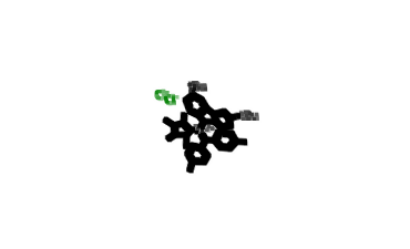 CC1=C(C)C(C)[C]([Zr+2](=[C](c2ccc(C)cc2)c2ccc(C)cc2)[CH]2c3ccc(C(C)(C)C)cc3-c3cc(C(C)(C)C)ccc32)=C1C.[Cl-].[Cl-]